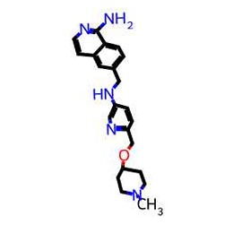 CN1CCC(OCc2ccc(NCc3ccc4c(N)nccc4c3)cn2)CC1